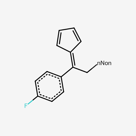 CCCCCCCCCCC(=C1C=CC=C1)c1ccc(F)cc1